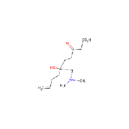 C=CCCC(O)(CCC(=O)CC(=O)O)CN(C)C